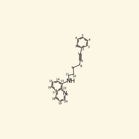 C(#Cc1ccccc1)CCCCNc1cccc2cccnc12